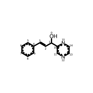 OC(C=Cc1ccccc1)c1cnccn1